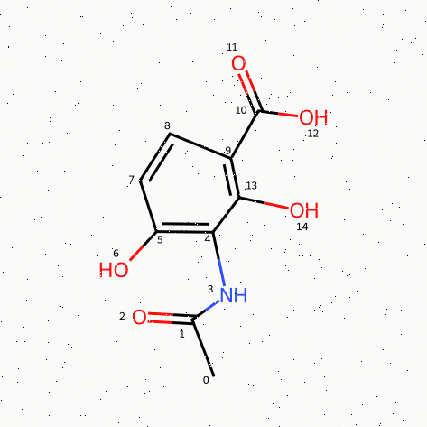 CC(=O)Nc1c(O)ccc(C(=O)O)c1O